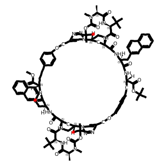 COC(=O)[C@@H]1Cc2ccc(cc2)OCc2cn(nn2)[C@H]2C[C@@H](C(=O)N[C@@H](Cc3ccc4ccccc4c3)C(=O)N[C@H](C(=O)OC(C)(C)C)Cc3ccc(cc3)OCc3cn(nn3)[C@H]3C[C@@H](C(=O)N[C@@H](Cc4ccc5ccccc5c4)C(=O)N1)N(C(=O)[C@@H](NC(=O)[C@H](C)N(C)C(=O)OC(C)(C)C)C(C)(C)C)C3)N(C(=O)[C@@H](NC(=O)[C@H](C)N(C)C(=O)OC(C)(C)C)C(C)(C)C)C2